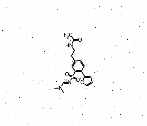 CN(C)/C=N/S(=O)(=O)c1cc(CCNC(=O)C(F)(F)F)ccc1-c1ccco1